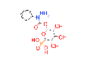 NN(C(=O)OC1O[C@H](P(=O)(O)O)[C@@H](O)[C@H](O)[C@H]1O)c1ccccc1